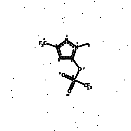 Cn1nc(C(F)(F)F)[c]c1OS(=O)(=O)C(F)(F)F